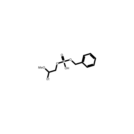 CCC(COP(=O)(O)OCc1ccccc1)OC